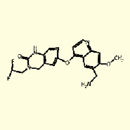 COc1cc2nccc(Oc3ccc4c(c3)CN(CC(F)F)C(=O)N4)c2cc1CN